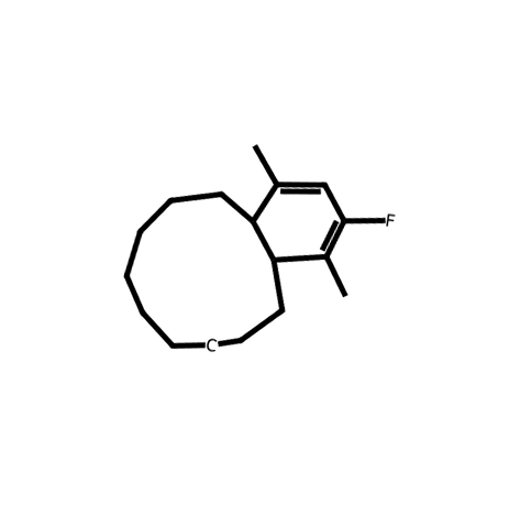 CC1=CC(F)=C(C)C2CCCCCCCCCC12